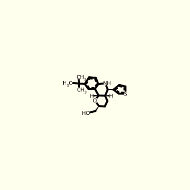 CC(C)(C)c1ccc2c(c1)[C@H]1O[C@H](CO)CC[C@H]1[C@H](c1ccsc1)N2